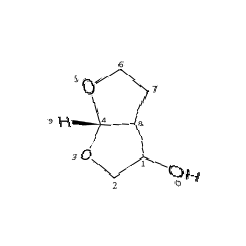 OC1CO[C@@H]2OCCC12